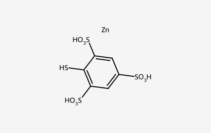 O=S(=O)(O)c1cc(S(=O)(=O)O)c(S)c(S(=O)(=O)O)c1.[Zn]